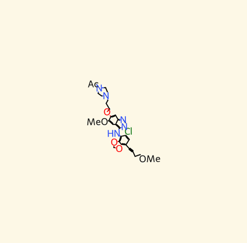 COCCC#Cc1cc(Cl)c(Nc2ncnc3cc(OCCCN4CCN(C(C)=O)CC4)c(OC)cc23)c2c1OCO2